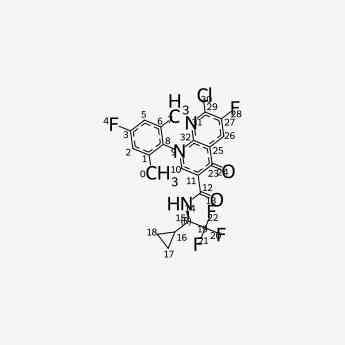 Cc1cc(F)cc(C)c1-n1cc(C(=O)N[C@H](C2CC2)C(F)(F)F)c(=O)c2cc(F)c(Cl)nc21